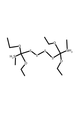 CCOC(OCC)([SiH2]C)SSSSC(OCC)(OCC)[SiH2]C